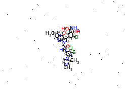 CC1Cc2nc3c(c(-c4cc(Cl)c(O)c(C(N)O)c4)cn3CC(=O)Nc3cc(N4CCN(C)C[C@@H]4C)nc(F)c3Cl)c(=O)n2C1